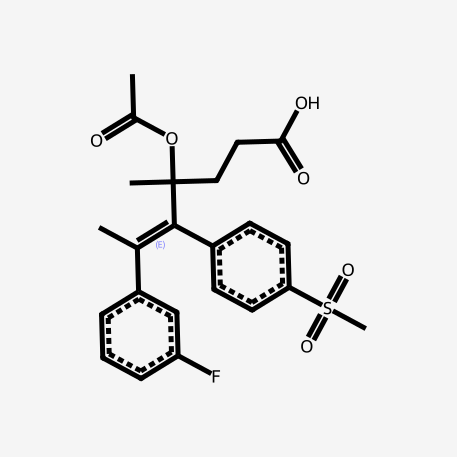 CC(=O)OC(C)(CCC(=O)O)/C(=C(\C)c1cccc(F)c1)c1ccc(S(C)(=O)=O)cc1